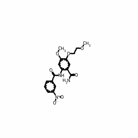 COCCOc1cc(C(N)=O)c(NC(=O)c2cccc([N+](=O)[O-])c2)cc1OC